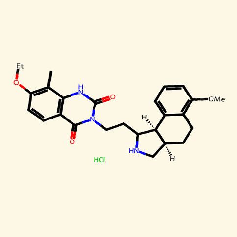 CCOc1ccc2c(=O)n(CCC3NC[C@@H]4CCc5c(OC)cccc5[C@H]34)c(=O)[nH]c2c1C.Cl